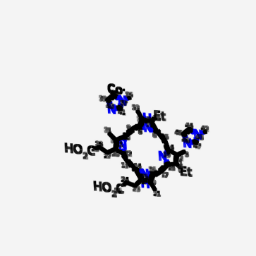 CCC1=C(C)c2cc3[nH]c(cc4nc(cc5[nH]c(cc1n2)c(C)c5CCC(=O)O)C(CCC(=O)O)=C4C)c(C)c3CC.Cn1ccnc1.Cn1ccnc1.[Co]